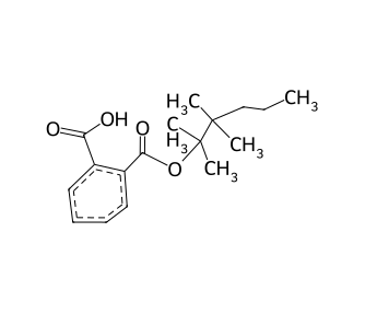 CCCC(C)(C)C(C)(C)OC(=O)c1ccccc1C(=O)O